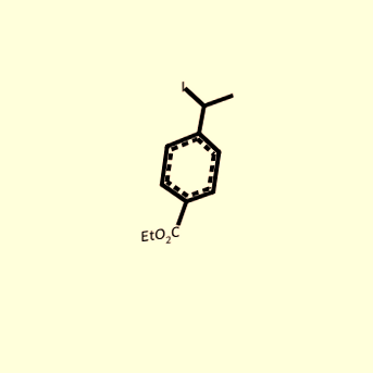 CCOC(=O)c1ccc(C(C)I)cc1